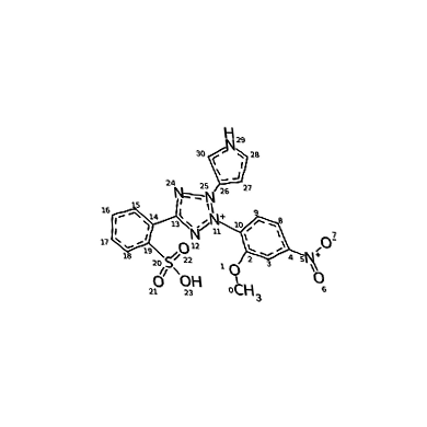 COc1cc([N+](=O)[O-])ccc1-[n+]1nc(-c2ccccc2S(=O)(=O)O)nn1-c1cc[nH]c1